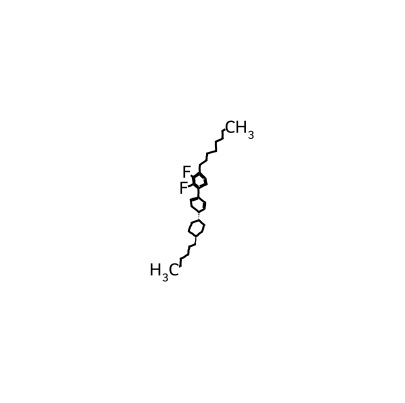 CCCCCCCCc1ccc(C2=CCC([C@H]3CC[C@H](CCCCCC)CC3)C=C2)c(F)c1F